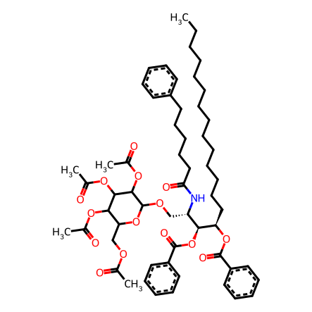 CCCCCCCCCCCCCC[C@@H](OC(=O)c1ccccc1)[C@@H](OC(=O)c1ccccc1)[C@H](COC1OC(COC(C)=O)C(OC(C)=O)C(OC(C)=O)C1OC(C)=O)NC(=O)CCCCCc1ccccc1